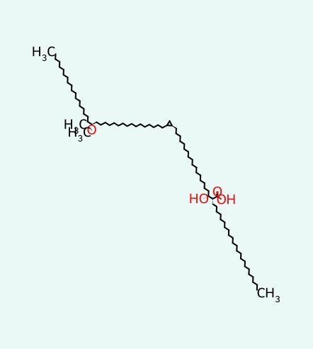 CCCCCCCCCCCCCCCCCCCCCCCC[C@@H](C(=O)O)[C@H](O)CCCCCCCCCCCCCCCCC[C@@H]1CC1CCCCCCCCCCCCCCCC[C@@H](OC)[C@@H](C)CCCCCCCCCCCCCCCCCC